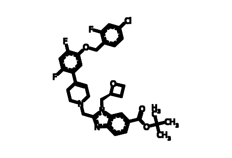 CC(C)(C)OC(=O)c1ccc2nc(CN3CC=C(c4cc(OCc5ccc(Cl)cc5F)c(F)cc4F)CC3)n(C[C@@H]3CCO3)c2c1